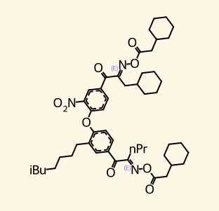 CCC/C(=N\OC(=O)CC1CCCCC1)C(=O)c1ccc(Oc2ccc(C(=O)/C(CC3CCCCC3)=N/OC(=O)CC3CCCCC3)cc2[N+](=O)[O-])c(CCCCC(C)CC)c1